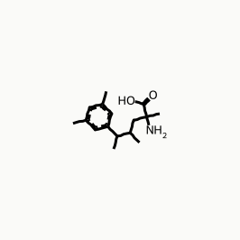 Cc1cc(C)cc(C(C)C(C)CC(C)(N)C(=O)O)c1